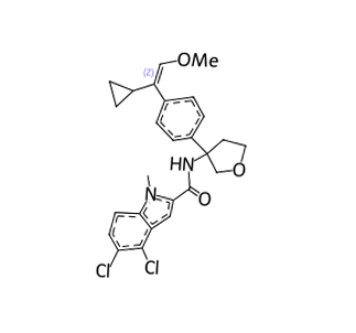 CO/C=C(\c1ccc(C2(NC(=O)c3cc4c(Cl)c(Cl)ccc4n3C)CCOC2)cc1)C1CC1